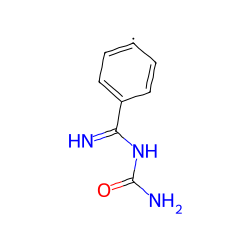 N=C(NC(N)=O)c1cc[c]cc1